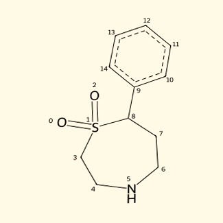 O=S1(=O)CCNCCC1c1ccccc1